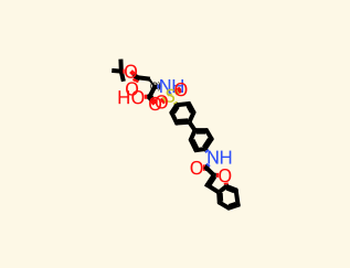 CC(C)(C)OC(=O)C[C@@H](NS(=O)(=O)c1ccc(-c2ccc(NC(=O)c3cc4ccccc4o3)cc2)cc1)C(=O)O